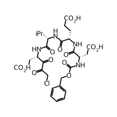 CC(C)[C@H](NC(=O)[C@H](CCC(=O)O)NC(=O)[C@H](CC(=O)O)NC(=O)OCc1ccccc1)C(=O)N[C@@H](CC(=O)O)C(=O)C(=O)CCl